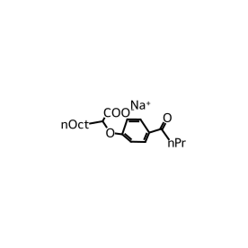 CCCCCCCCC(Oc1ccc(C(=O)CCC)cc1)C(=O)[O-].[Na+]